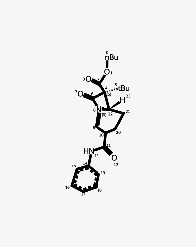 CCCCOC(=O)[C@]1(C(C)(C)C)C(=O)[N+]2=CC(C(=O)Nc3ccccc3)CC[C@H]21